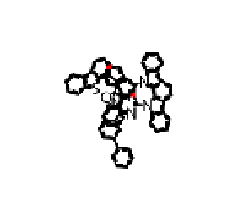 c1ccc(-c2cccc(-c3nc(-c4ccccc4)nc(-n4c5ccccc5c5ccc6c7ccccc7n(-c7cc(-c8cccc9c8sc8ccccc89)c8oc9ccccc9c8c7)c6c54)n3)c2)cc1